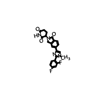 Cn1cc(-c2ccc3c(c2)CN(C2CCC(=O)NC2=O)C3=O)nc1-c1ccc(F)cc1F